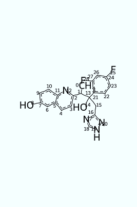 CC(c1ccc2cc(O)ccc2n1)C(O)(Cc1nc[nH]n1)c1ccc(F)cc1F